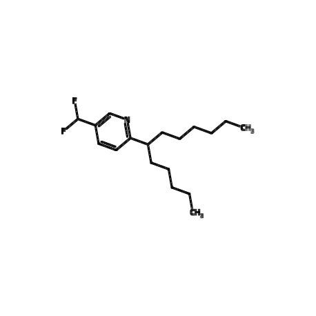 CCCCCCC(CCCCC)c1ccc(C(F)F)cn1